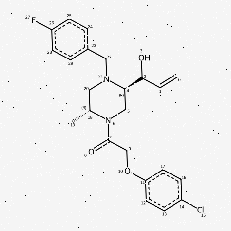 C=CC(O)[C@H]1CN(C(=O)COc2ccc(Cl)cc2)[C@H](C)CN1Cc1ccc(F)cc1